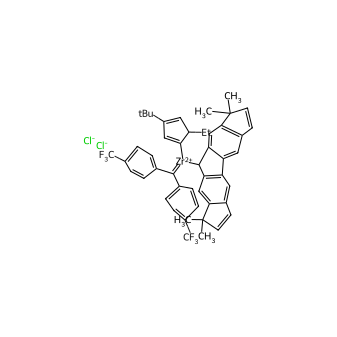 CCC1C=C(C(C)(C)C)C=[C]1[Zr+2](=[C](c1ccc(C(F)(F)F)cc1)c1ccc(C(F)(F)F)cc1)[CH]1c2cc3c(cc2-c2cc4c(cc21)C(C)(C)C=C4)C=CC3(C)C.[Cl-].[Cl-]